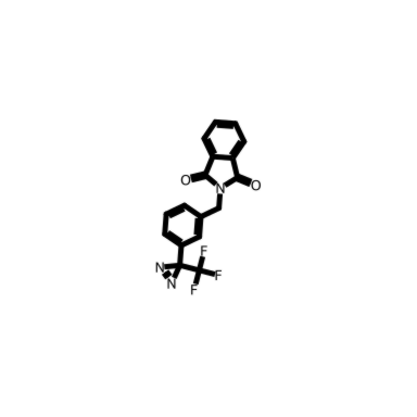 O=C1c2ccccc2C(=O)N1Cc1cccc(C2(C(F)(F)F)N=N2)c1